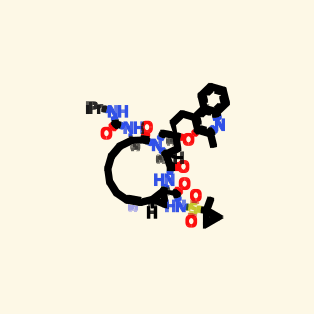 Cc1nc2ccccc2c2c1O[C@]1(CC2)C[C@H]2C(=O)N[C@]3(C(=O)NS(=O)(=O)C4(C)CC4)C[C@H]3/C=C\CCCCC[C@H](NC(=O)NC(C)C)C(=O)N2C1